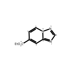 CCOC(=O)c1ccn2ncnc2c1